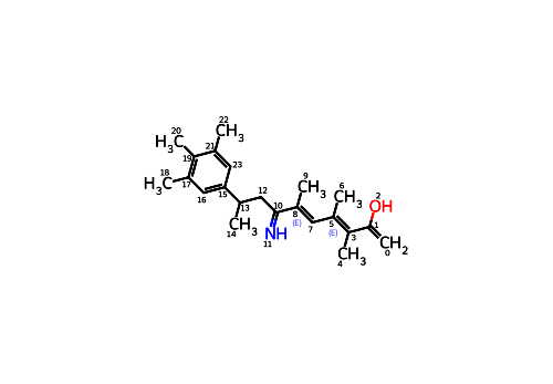 C=C(O)/C(C)=C(C)/C=C(\C)C(=N)CC(C)c1cc(C)c(C)c(C)c1